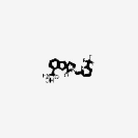 O=C(NO)c1cccc2c1CC1(CCN(Cc3cccc(C(F)(F)F)n3)C1=O)C2